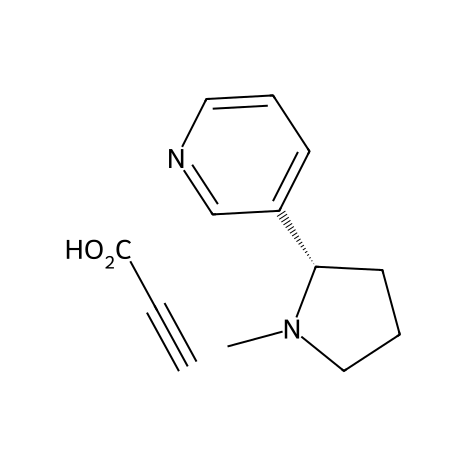 C#CC(=O)O.CN1CCC[C@H]1c1cccnc1